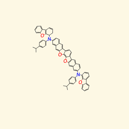 CC(C)c1ccc(N(c2ccc3cc4c(cc3c2)oc2c4ccc3c4cc5ccc(N(c6ccc(C(C)C)cc6)C6CC=Cc7c6oc6ccccc76)cc5cc4oc32)c2cccc3c2oc2ccccc23)cc1